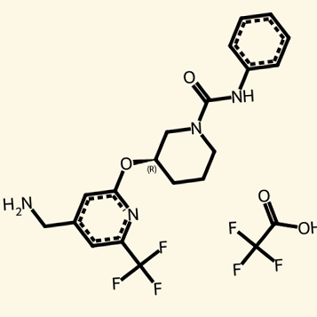 NCc1cc(O[C@@H]2CCCN(C(=O)Nc3ccccc3)C2)nc(C(F)(F)F)c1.O=C(O)C(F)(F)F